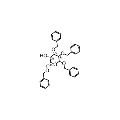 O[C@@H]1[C@H](OCc2ccccc2)[C@@H](OCc2ccccc2)C(OCc2ccccc2)O[C@@H]1COCc1ccccc1